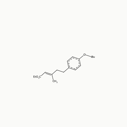 CCOC(=O)/C=C(\C)CCc1ccc(OC(C)CC)cc1